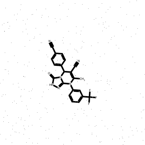 CC1=C(C#N)C(c2ccc(C#N)cc2)n2c(n[nH]c2=O)N1c1cccc(C(F)(F)F)c1